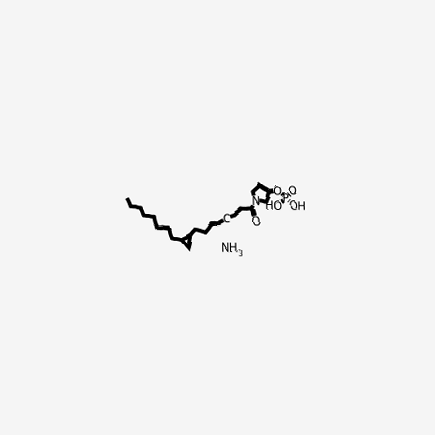 CCCCCCCCC1CC1CCCCCCCC(=O)N1CCC(OP(=O)(O)O)C1.N